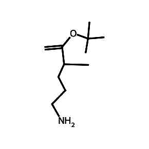 C=C(OC(C)(C)C)C(C)CCCN